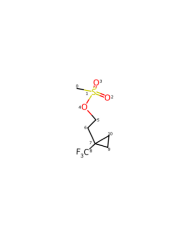 CS(=O)(=O)OCCC1(C(F)(F)F)CC1